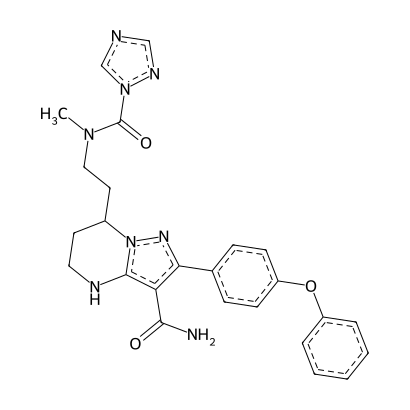 CN(CCC1CCNc2c(C(N)=O)c(-c3ccc(Oc4ccccc4)cc3)nn21)C(=O)n1cncn1